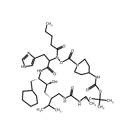 CCCCC(=O)N(OC(=O)N1CCC(NC(=O)OC(C)(C)C)CC1)C(Cc1c[nH]cn1)C(=O)N[C@@H](CC1CCCCC1)[C@@H](O)C[C@H](CNC(=O)NCC)C(C)C